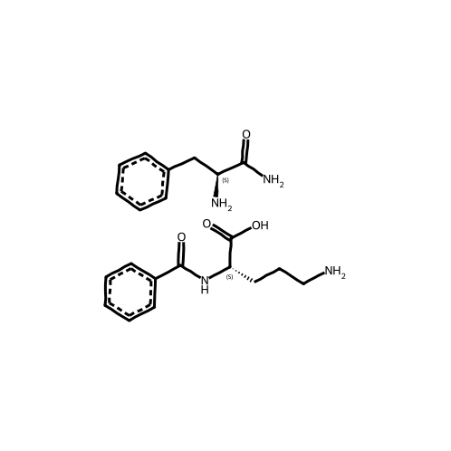 NC(=O)[C@@H](N)Cc1ccccc1.NCCC[C@H](NC(=O)c1ccccc1)C(=O)O